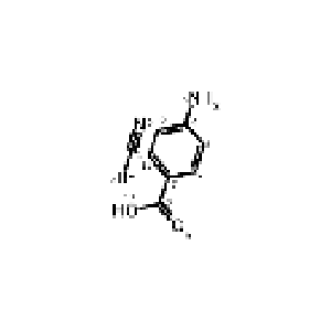 N#CBr.Nc1ccc(C(=O)O)cc1